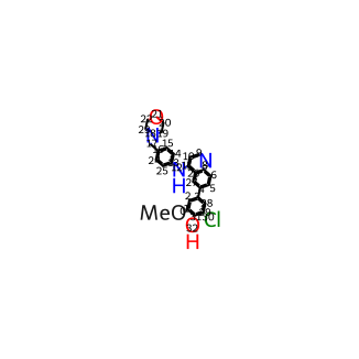 COc1cc(-c2ccc3nc[c]c(Nc4ccc(CN5CCOCC5)cc4)c3c2)cc(Cl)c1O